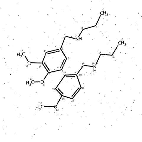 CCCNCc1ccc(OC)c(OC)c1.CCCNCc1ccc(OC)cc1